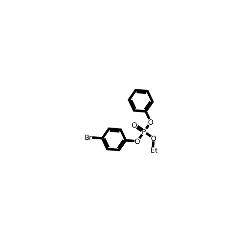 CCOP(=O)(Oc1ccccc1)Oc1ccc(Br)cc1